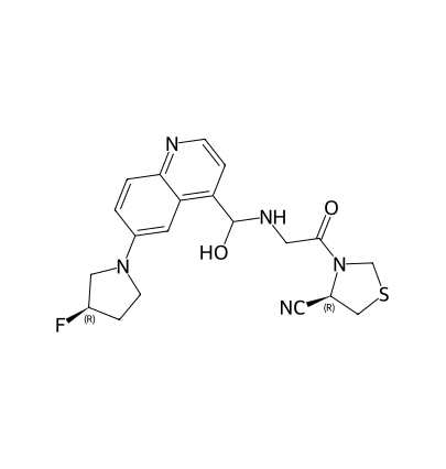 N#C[C@@H]1CSCN1C(=O)CNC(O)c1ccnc2ccc(N3CC[C@@H](F)C3)cc12